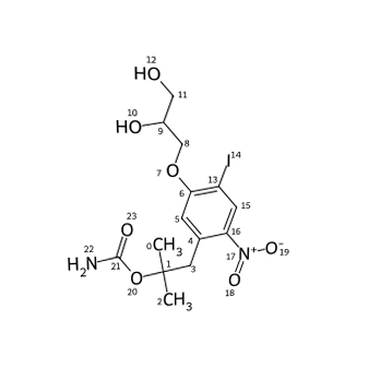 CC(C)(Cc1cc(OCC(O)CO)c(I)cc1[N+](=O)[O-])OC(N)=O